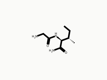 CC[C@H](C)[C@H](NC(=O)CN)C(N)=O